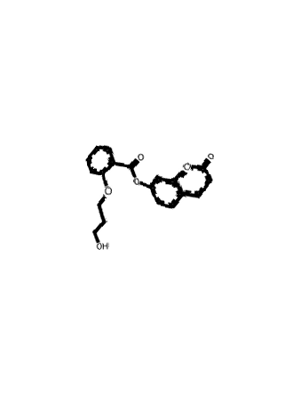 O=C(Oc1ccc2ccc(=O)oc2c1)c1ccccc1OCCCO